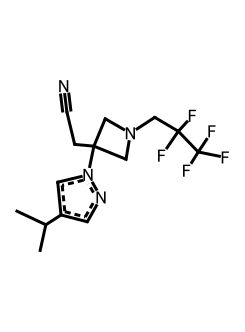 CC(C)c1cnn(C2(CC#N)CN(CC(F)(F)C(F)(F)F)C2)c1